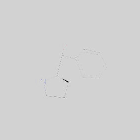 C[C@](O)(c1ccccc1)[C@H]1CCCN1